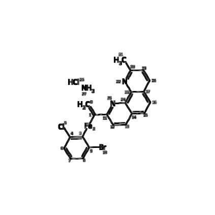 C=[C]([Fe][c]1c(Cl)cccc1Br)c1ccc2ccc3ccc(C)nc3c2n1.Cl.N